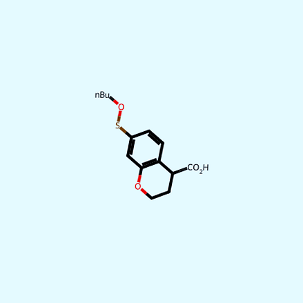 CCCCOSc1ccc2c(c1)OCCC2C(=O)O